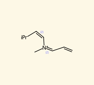 C=C/C=[N+](C)\C=C/C(C)C